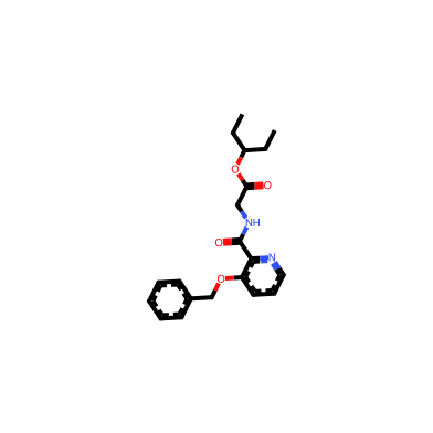 CCC(CC)OC(=O)CNC(=O)c1ncccc1OCc1ccccc1